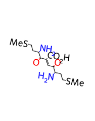 CSCCC(N)C(=O)/C=C(\C(=O)O)C(=O)C(N)CCSC